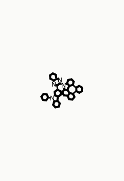 c1ccc(-n2c3ccccc3c3ccc(-c4nc5ccccc5nc4-n4c5cccc6c5c5c7c(cccc7ccc54)-c4ccccc4-6)cc32)cc1